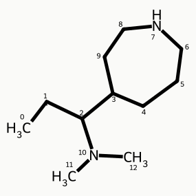 C[CH]C(C1CCCNCC1)N(C)C